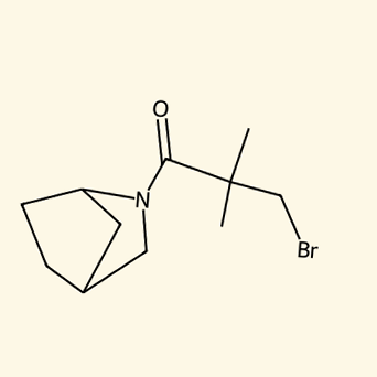 CC(C)(CBr)C(=O)N1CC2CCC1C2